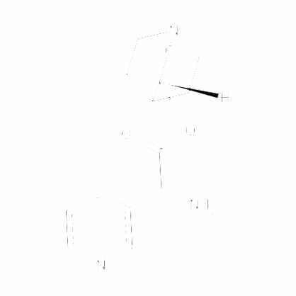 NC(C(=O)O[C@H]1CN2CCC1CC2)c1cccnc1